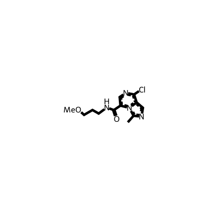 COCCCNC(=O)c1cnc(Cl)c2cnc(C)n12